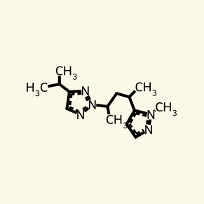 CC(C)c1cnn(C(C)CC(C)c2ccnn2C)n1